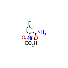 CCN(C(=O)C(=O)O)c1ccc(F)cc1C(N)=O